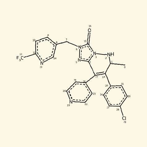 CC1Nn2c(nn(Cc3ccc(C(F)(F)F)nc3)c2=O)C(c2ccncc2)=C1c1ccc(Cl)cc1